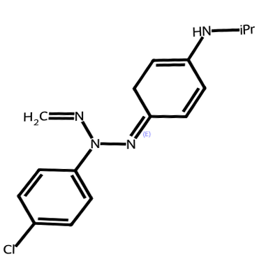 C=NN(/N=C1/C=CC(NC(C)C)=CC1)c1ccc(Cl)cc1